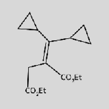 CCOC(=O)CC(C(=O)OCC)=C(C1CC1)C1CC1